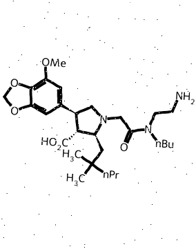 CCCCN(CCN)C(=O)CN1C[C@H](c2cc(OC)c3c(c2)OCO3)[C@@H](C(=O)O)[C@@H]1CC(C)(C)CCC